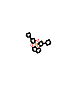 O=P12c3ccc(-c4ccccc4)cc3Oc3cc(-c4ccccc4)cc(c31)Oc1ccc3ccccc3c12